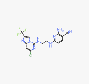 N#Cc1ccc(NCCNc2nc(Cl)cc3nc(C(F)(F)F)cn23)nc1N